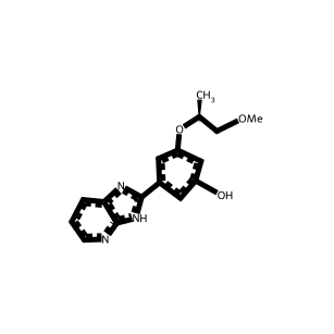 COC[C@H](C)Oc1cc(O)cc(-c2nc3cccnc3[nH]2)c1